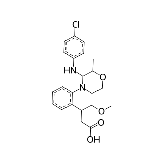 COCC(CC(=O)O)c1ccccc1N1CCOC(C)C1Nc1ccc(Cl)cc1